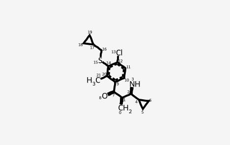 C=C(C(=N)C1CC1)C(=O)c1ccc(Cl)c(SCC2CC2)c1C